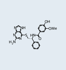 COc1cc(C(=O)N[C@@H](CSc2nc(N)nc3nc[nH]c23)c2ccccc2)ccc1O